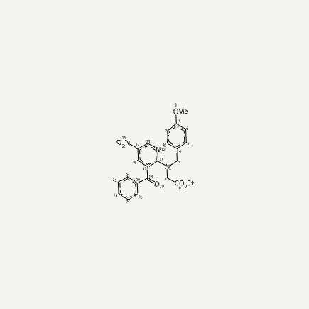 CCOC(=O)CN(Cc1ccc(OC)cc1)c1ncc([N+](=O)[O-])cc1C(=O)c1ccccc1